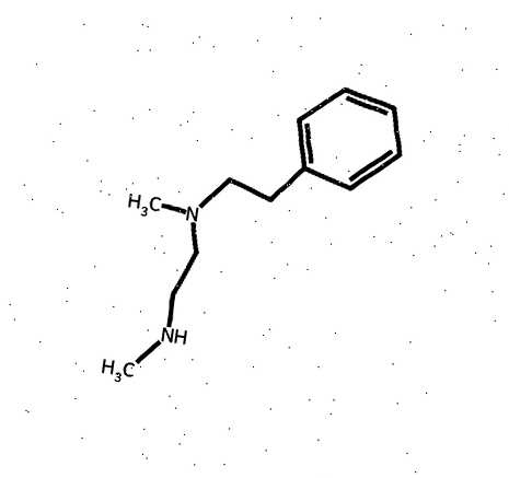 CNCCN(C)CCc1ccccc1